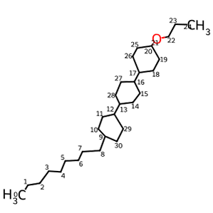 CCCCCCCCCC1CCC(C2CCC(C3CCC(OCCC)CC3)CC2)CC1